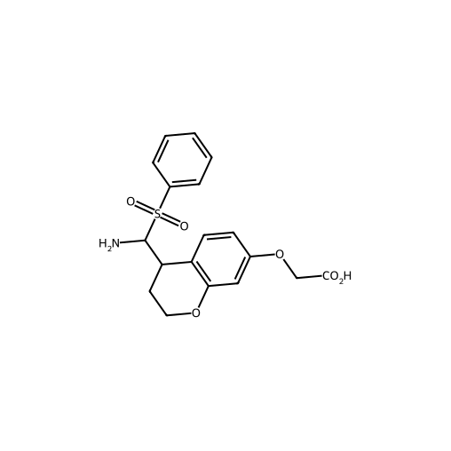 NC(C1CCOc2cc(OCC(=O)O)ccc21)S(=O)(=O)c1ccccc1